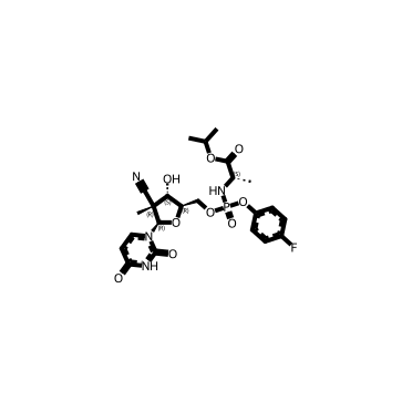 CC(C)OC(=O)[C@H](C)NP(=O)(OC[C@H]1O[C@@H](n2ccc(=O)[nH]c2=O)[C@](C)(C#N)[C@@H]1O)Oc1ccc(F)cc1